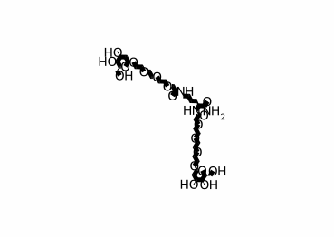 NC(=O)[C@H](CCCCNC(=O)COCCOCCOCCO[C@H]1C[C@@H](O)[C@@H](O)[C@@H](CO)O1)NC(=O)COCCOCCOCCO[C@H]1C[C@@H](O)[C@@H](O)[C@@H](CO)O1